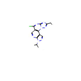 CCc1nc2nc(Cl)c3cnc4c(cnn4C(C)C)c3n2n1